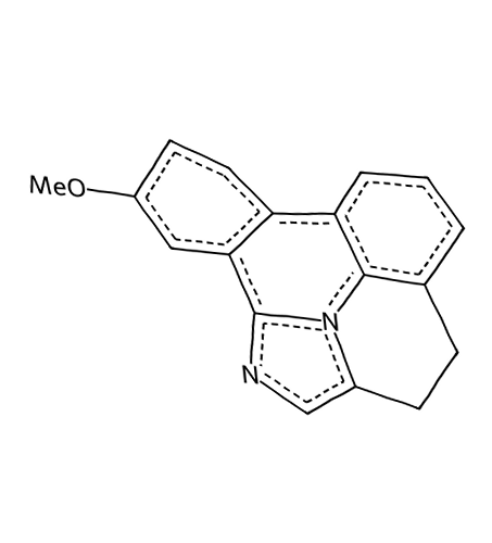 COc1ccc2c(c1)c1ncc3n1c1c(cccc21)CC3